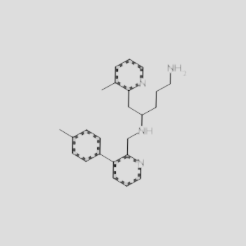 Cc1ccc(-c2cccnc2CNC(CCCN)Cc2ncccc2C)cc1